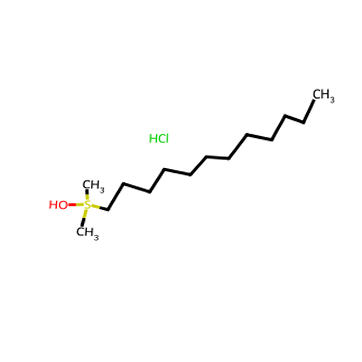 CCCCCCCCCCCCS(C)(C)O.Cl